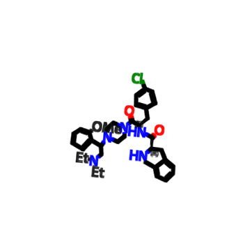 CCN(CC)CC(c1ccccc1OC)N1CCN(C(=O)[C@@H](Cc2ccc(Cl)cc2)NC(=O)[C@H]2Cc3ccccc3CN2)CC1